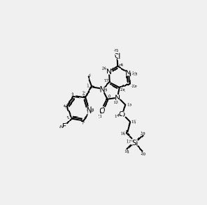 CC(c1ccc(F)cn1)n1c(=O)n(COCC[Si](C)(C)C)c2cnc(Cl)nc21